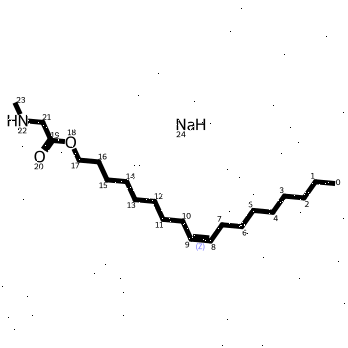 CCCCCCCC/C=C\CCCCCCCCOC(=O)CNC.[NaH]